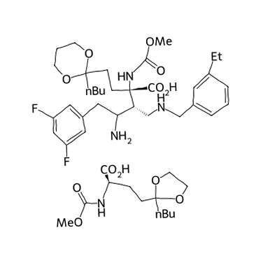 CCCCC1(CC[C@@H](NC(=O)OC)C(=O)O)OCCO1.CCCCC1(CC[C@@](NC(=O)OC)(C(=O)O)[C@H](CNCc2cccc(CC)c2)C(N)Cc2cc(F)cc(F)c2)OCCCO1